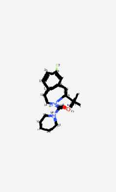 CC(C)(C)C1Cc2cc(F)ccc2CCN1C(=O)N1CCCCC1